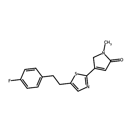 CN1CC(c2ncc(CCc3ccc(F)cc3)s2)=CC1=O